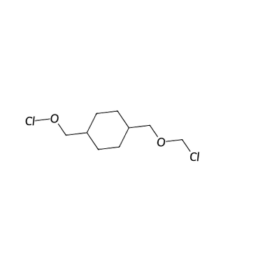 ClCOCC1CCC(COCl)CC1